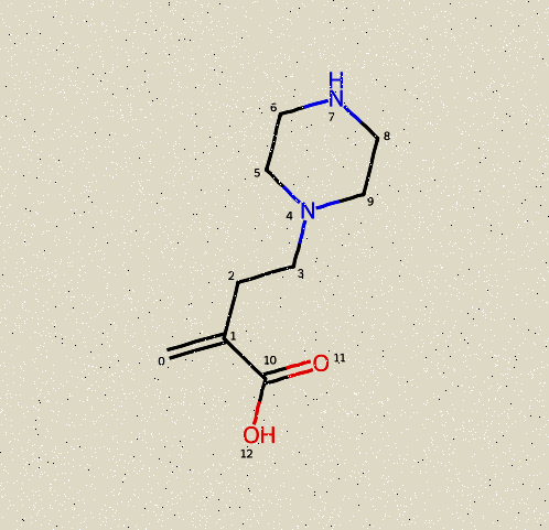 C=C(CCN1CCNCC1)C(=O)O